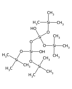 C[Si](C)(C)O[Si](O)(O[Si](C)(C)C)O[Si](O)(O[Si](C)(C)C)O[Si](C)(C)C